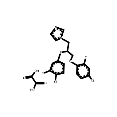 Clc1ccc(OCC(Cn2ccnc2)Sc2ccc(Cl)c(Cl)c2)c(Cl)c1.O=C(O)C(=O)O